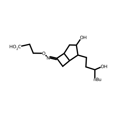 CCCCC(O)CCC1C(O)CC2C(=NOCCC(=O)O)CC21